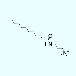 CCCCCCCCCCCC(=O)NCCC[N+](C)(C)C